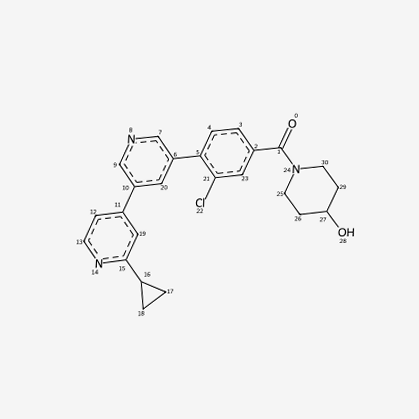 O=C(c1ccc(-c2cncc(-c3ccnc(C4CC4)c3)c2)c(Cl)c1)N1CCC(O)CC1